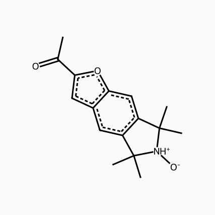 CC(=O)c1cc2cc3c(cc2o1)C(C)(C)[NH+]([O-])C3(C)C